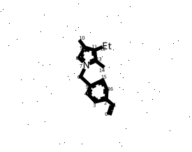 C=Cc1ccc(Cn2cc(C)c(CC)c2C)cc1